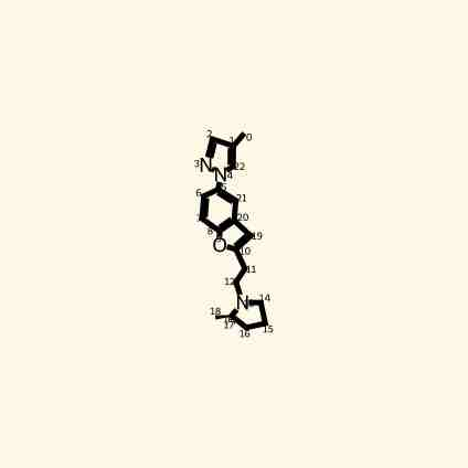 Cc1cnn(-c2ccc3oc(CCN4CCC[C@H]4C)cc3c2)c1